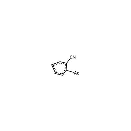 CC(=O)c1c[c]ccc1C#N